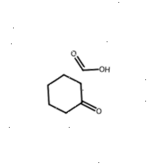 O=C1CCCCC1.O=CO